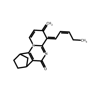 C=c1ccn2c3c(c(=O)nc2/c1=C/C=C\CC)C1CCC3C1